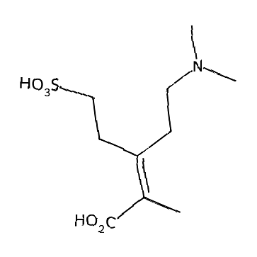 CC(C(=O)O)=C(CCN(C)C)CCS(=O)(=O)O